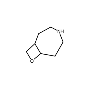 C1CC2COC2CCN1